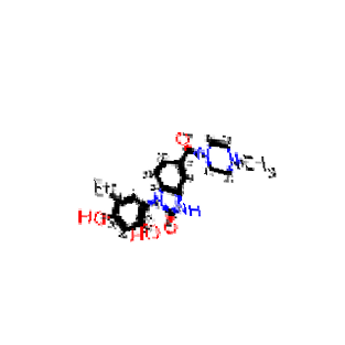 CCc1cc(-n2c(=O)[nH]c3cc(C(=O)N4CCN(C)CC4)ccc32)c(O)cc1O